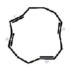 [CH]1/C=C/CC/C=C/C=C/CCC/C=C/1